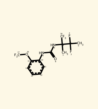 CC(F)(F)C(C)(NC(=O)Nc1ccccc1OC(F)(F)F)C(F)(F)F